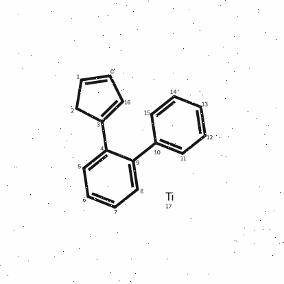 C1=CCC(c2ccccc2-c2ccccc2)=C1.[Ti]